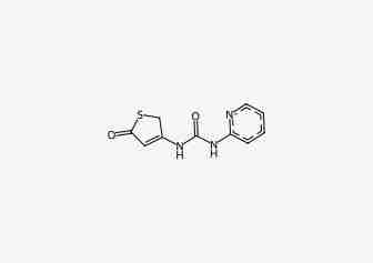 O=C(NC1=CC(=O)SC1)Nc1ccccn1